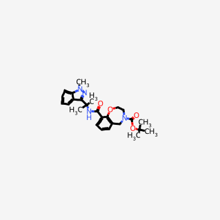 Cn1nc(C(C)(C)NC(=O)c2cccc3c2OCCN(C(=O)OC(C)(C)C)C3)c2ccccc21